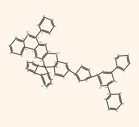 c1ccc(-c2cc(-c3ccc(-c4ccc5c(c4)Oc4cc6c(-c7ccccc7)nc7ccccc7c6cc4C54c5ccccc5-c5ccccc54)cc3)nc(-c3ccccc3)n2)cc1